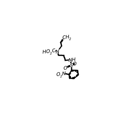 C=CCN(CCCNS(=O)(=O)c1ccccc1[N+](=O)[O-])C(=O)O